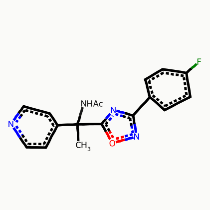 CC(=O)NC(C)(c1ccncc1)c1nc(-c2ccc(F)cc2)no1